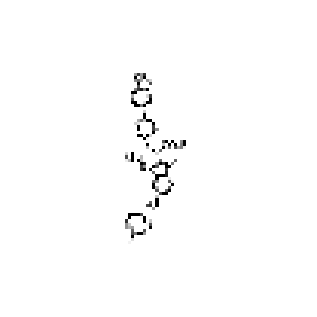 CCOC(=O)C(Cc1ccc(-c2ccc(C(F)(F)F)cn2)cc1)c1c(SC(C)(C)C)c2cc(OCc3cnc(C)cn3)ccc2n1C